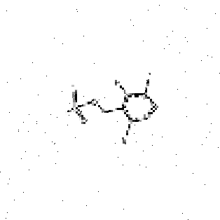 Cc1ccc(Br)c(COS(C)(=O)=O)c1F